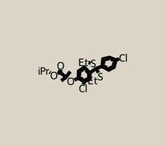 CCSC(SCC)(c1ccc(Cl)cc1)c1ccc(OC(C)(C)C(=O)OC(C)C)c(Cl)c1